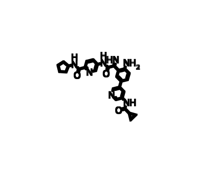 N=C(C(=O)Nc1ccc(C(=O)NC2CCCC2)nc1)c1cc(-c2cncc(NC(=O)C3CC3)c2)ccc1N